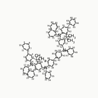 CC1(C)c2cc(-c3ccccc3)ccc2N(c2cccc3ccccc23)c2ccc(N(c3ccccc3)c3ccc(-c4ccc(N(c5ccccc5)c5ccc6c(c5)C(C)(C)c5cc(-c7ccccc7)ccc5N6c5cccc6ccccc56)cc4)cc3)cc21